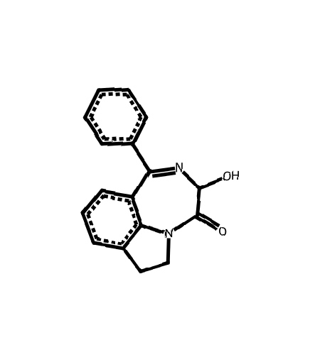 O=C1C(O)N=C(c2ccccc2)c2cccc3c2N1CC3